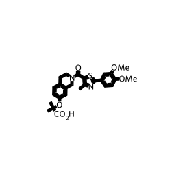 COc1ccc(-c2nc(C)c(C(=O)N3CCc4ccc(OC(C)(C)C(=O)O)cc4C3)s2)cc1OC